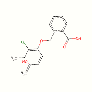 C=C(O)/C=C\C(OCc1ccccc1C(=O)O)=C(\Cl)CC